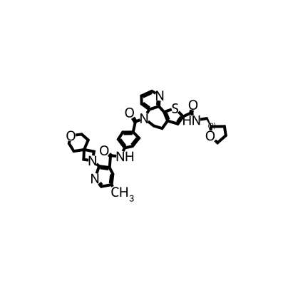 Cc1cnc(N2CC3(CCOCC3)C2)c(C(=O)Nc2ccc(C(=O)N3CCc4cc(C(=O)NC[C@H]5CCCO5)sc4-c4ncccc43)cc2)c1